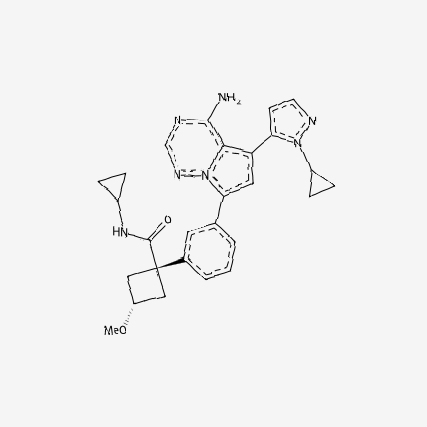 CO[C@H]1C[C@](C(=O)NC2CC2)(c2cccc(-c3cc(-c4ccnn4C4CC4)c4c(N)ncnn34)c2)C1